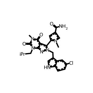 CC(C)Cn1c(=O)n(C)c(=O)c2c(-c3cc(C(N)=O)cn3C)n(Cc3c[nH]c4ccc(Cl)cc34)nc21